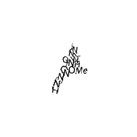 COc1nc(N2CCNCC2)ccc1C(=O)Nc1cn2cc(C)nc2c(C)n1